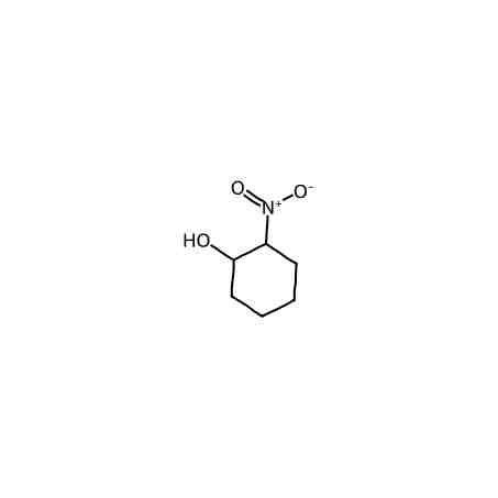 O=[N+]([O-])C1CCCCC1O